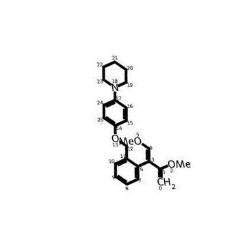 C=C(OC)/C(=C/OC)c1ccccc1COc1ccc(N2CCCCC2)cc1